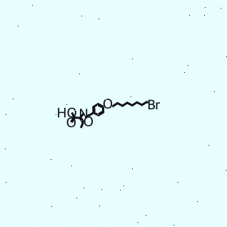 Cc1oc(-c2ccc(OCCCCCCCCBr)cc2)nc1C(=O)O